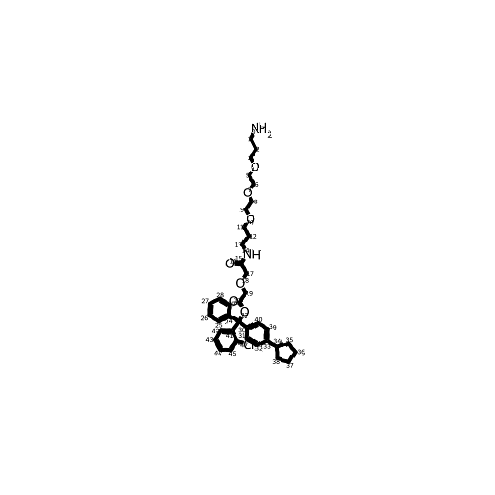 NCCCOCCOCCOCCCNC(=O)COCC(=O)OC(c1ccccc1)(c1ccc(C2CCCC2)cc1)c1ccccc1Cl